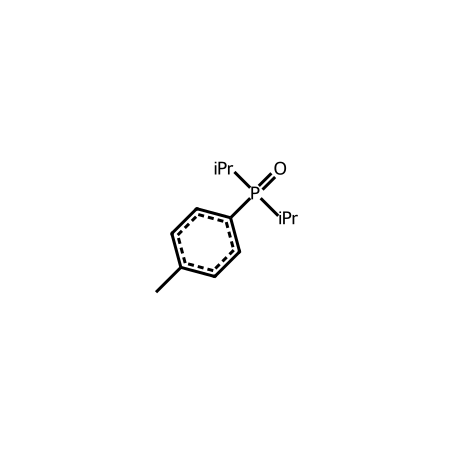 Cc1ccc(P(=O)(C(C)C)C(C)C)cc1